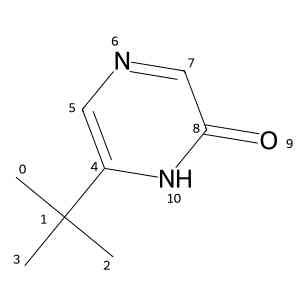 CC(C)(C)c1cncc(=O)[nH]1